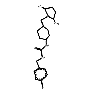 CC1CCC(O)N1CC1CCC(NC(=O)NCc2ccc(Cl)cc2)CC1